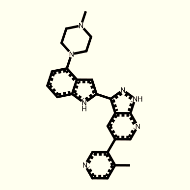 Cc1ccncc1-c1cnc2[nH]nc(-c3cc4c(N5CCN(C)CC5)cccc4[nH]3)c2c1